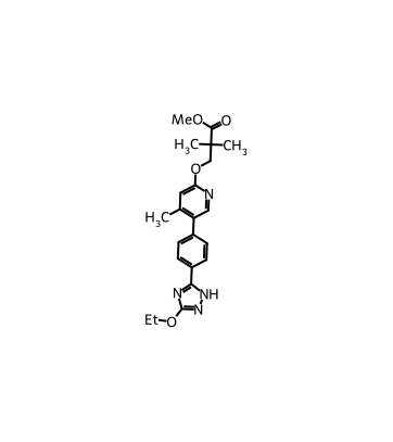 CCOc1n[nH]c(-c2ccc(-c3cnc(OCC(C)(C)C(=O)OC)cc3C)cc2)n1